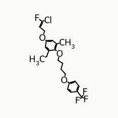 CCc1cc(OCC=C(F)Cl)cc(C)c1OCCCCOc1ccc(C(F)(F)F)cc1